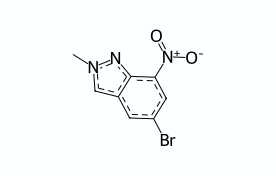 Cn1cc2cc(Br)cc([N+](=O)[O-])c2n1